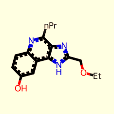 CCCc1nc2ccc(O)cc2c2[nH]c(COCC)nc12